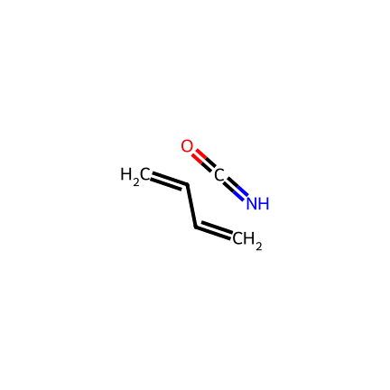 C=CC=C.N=C=O